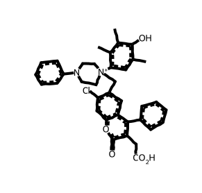 Cc1cc([N+]2(Cc3cc4c(-c5ccccc5)c(CC(=O)O)c(=O)oc4cc3Cl)CCN(c3ccccc3)CC2)c(C)c(C)c1O